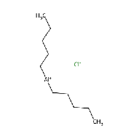 CCCC[CH2][Al+][CH2]CCCC.[Cl-]